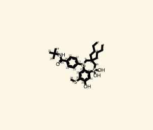 CCCCC1(CCCC)CN(c2ccc(C(=O)NC(C)(C)C)cc2)c2cc(SC)c(O)cc2S(O)(O)C1